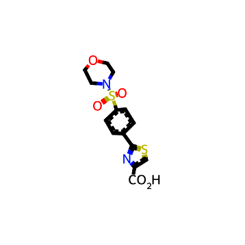 O=C(O)c1csc(-c2ccc(S(=O)(=O)N3CCOCC3)cc2)n1